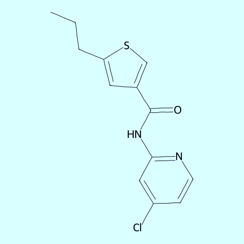 CCCc1cc(C(=O)Nc2cc(Cl)ccn2)cs1